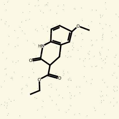 CCOC(=O)C1Cc2cc(OC)ccc2NC1=O